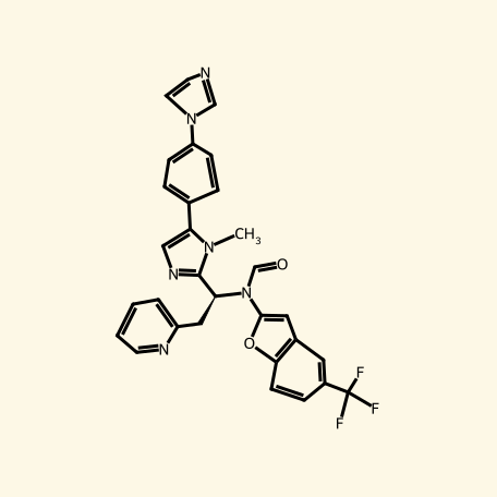 Cn1c(-c2ccc(-n3ccnc3)cc2)cnc1[C@H](Cc1ccccn1)N(C=O)c1cc2cc(C(F)(F)F)ccc2o1